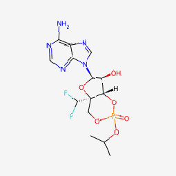 CC(C)OP1(=O)OC[C@@]2(C(F)F)O[C@@H](n3cnc4c(N)ncnc43)[C@@H](O)[C@@H]2O1